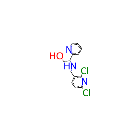 OCC(NCc1ccc(Cl)nc1Cl)c1ccccn1